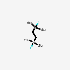 CC(C)(C)[Si](F)(CC[Si](F)(C(C)(C)C)C(C)(C)C)C(C)(C)C